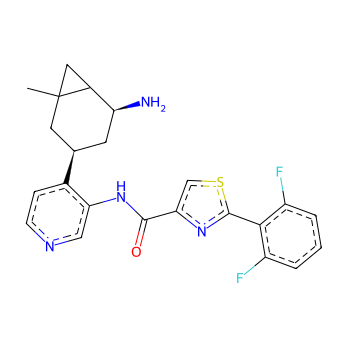 CC12CC1[C@@H](N)C[C@@H](c1ccncc1NC(=O)c1csc(-c3c(F)cccc3F)n1)C2